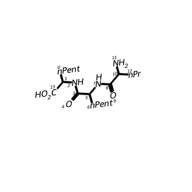 CCCCCC(NC(=O)C(CCCCC)NC(=O)C(N)CCC)C(=O)O